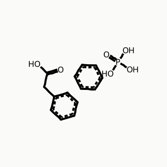 O=C(O)Cc1ccccc1.O=P(O)(O)O.c1ccccc1